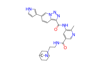 Cc1ncc(C(=O)NCCN2CC3CCC2CC3)cc1NC(=O)c1nnn2cc(-c3cc[nH]c3)ccc12